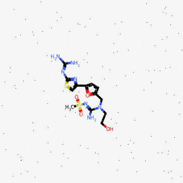 CS(=O)(=O)N=C(N)N(CCO)Cc1ccc(-c2csc(N=C(N)N)n2)o1